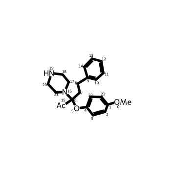 COc1ccc(OC(CCc2ccccc2)(C(C)=O)N2CCNCC2)cc1